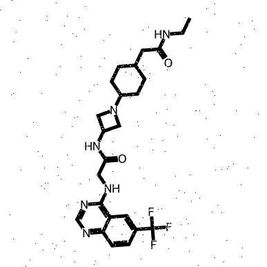 CCNC(=O)CC1CCC(N2CC(NC(=O)CNc3ncnc4ccc(C(F)(F)F)cc34)C2)CC1